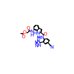 CC(=O)OCC(=O)Nc1cccc2cc(C(=O)Nc3ccc(C#N)cc3-c3nnn[nH]3)[nH]c12